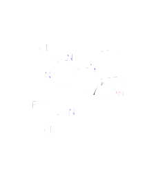 CC(C)(C)[C@H]1N(c2nc(Cl)nc3c(F)c(Cl)ncc23)CCCC1(C)O